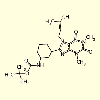 CC(C)=CCn1c(C2CCCC(NC(=O)OC(C)(C)C)C2)nc2c1c(=O)n(C)c(=O)n2C